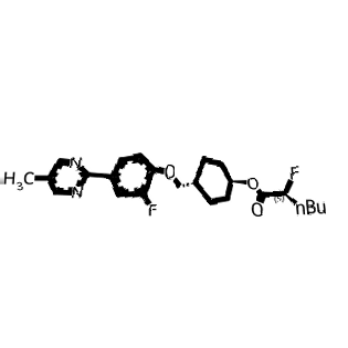 CCCC[C@H](F)C(=O)O[C@H]1CC[C@H](COc2ccc(-c3ncc(C)cn3)cc2F)CC1